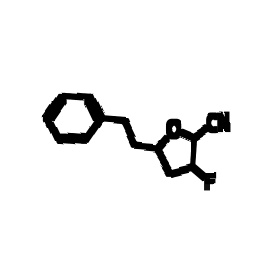 N#CC1OC(CCc2ccccc2)CC1F